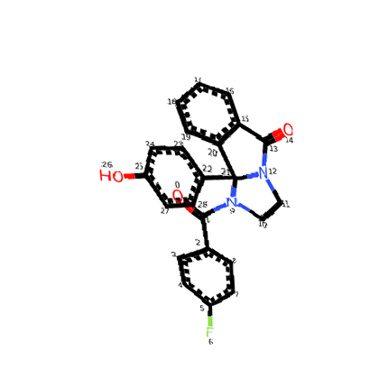 O=C(c1ccc(F)cc1)N1CCN2C(=O)c3ccccc3C12c1ccc(O)cc1